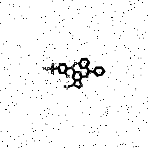 CCc1cc(S(C)(=O)=O)ncc1N(C)c1cc2c(ncn2C)c(N=C(c2ccccc2)c2ccccc2)n1